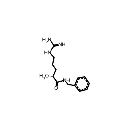 C[C@H](CCCNC(=N)N)C(=O)NCc1ccccc1